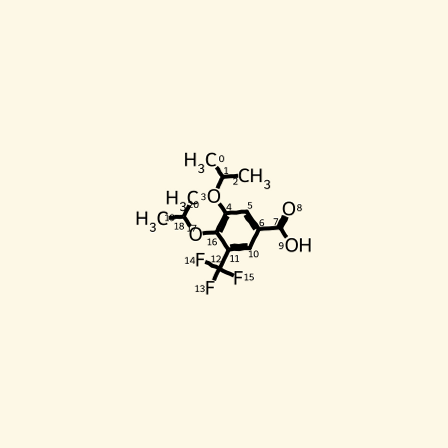 CC(C)Oc1cc(C(=O)O)cc(C(F)(F)F)c1OC(C)C